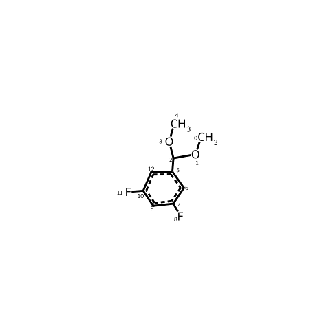 COC(OC)c1cc(F)cc(F)c1